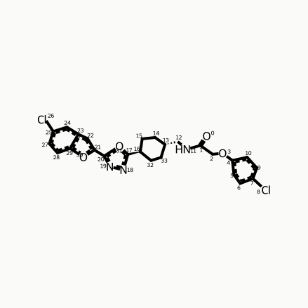 O=C(COc1ccc(Cl)cc1)NC[C@H]1CC[C@H](c2nnc(-c3cc4cc(Cl)ccc4o3)o2)CC1